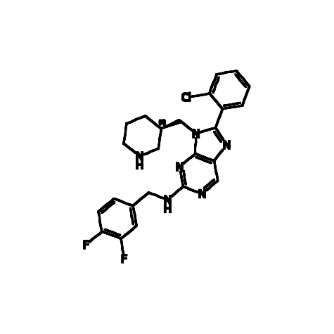 Fc1ccc(CNc2ncc3nc(-c4ccccc4Cl)n(C[C@@H]4CCCNC4)c3n2)cc1F